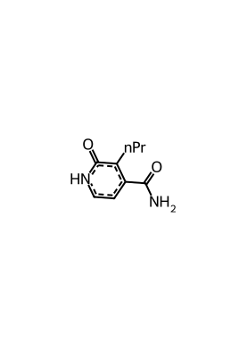 CCCc1c(C(N)=O)cc[nH]c1=O